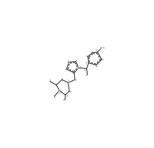 CC1CN(Cc2cncn2C(C)c2ccc(F)cc2)CC(C)N1C